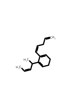 C=CC/C=C\C1=CCCC=C1C(C)/C=C\C